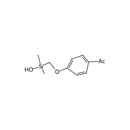 CC(=O)c1ccc(OC[Si](C)(C)O)cc1